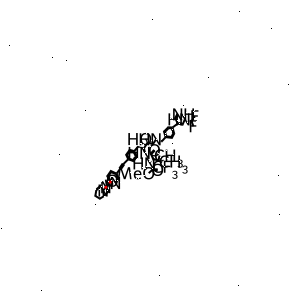 COC(=O)N[C@H](C(=O)N[C@@H](Cc1ccc(C#Cc2ccc(N3CC4CCC(C3)N4C3COC3)nc2)cc1)[C@@H](O)CNCc1ccc(/C(C=N)=C/NC(F)F)cc1)C(C)(C)C(F)(F)F